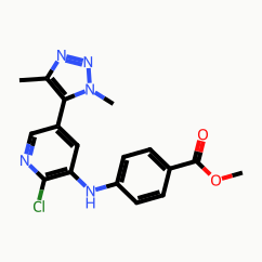 COC(=O)c1ccc(Nc2cc(-c3c(C)nnn3C)cnc2Cl)cc1